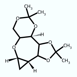 CC1(C)OC2C(O1)[C@@H]1C[C@@H]1OC1COC(C)(C)O[C@H]12